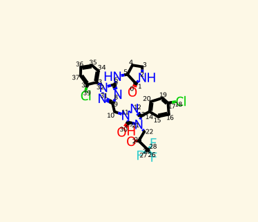 O=C1NCCC1Nc1nc(Cn2nc(-c3ccc(Cl)cc3)n(CC(O)C(F)(F)F)c2=O)nn1-c1ccccc1Cl